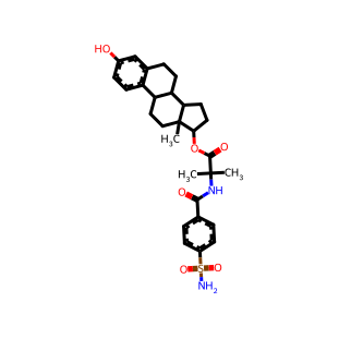 CC(C)(NC(=O)c1ccc(S(N)(=O)=O)cc1)C(=O)OC1CCC2C3CCc4cc(O)ccc4C3CCC12C